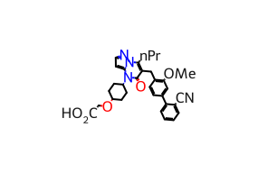 CCCc1c(Cc2ccc(-c3ccccc3C#N)cc2OC)c(=O)n([C@H]2CC[C@H](OCC(=O)O)CC2)c2ccnn12